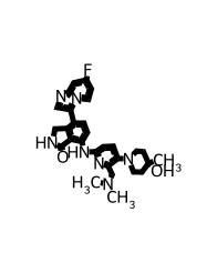 CN(C)Cc1nc(Nc2ccc(-c3cnc4cc(F)ccn34)c3c2C(=O)NC3)ccc1N1CCC(C)(O)CC1